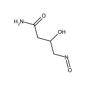 NC(=O)CC(O)CN=O